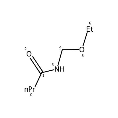 CCCC(=O)N[CH]OCC